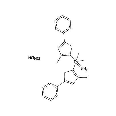 CC1=[C]([Ti]([CH3])([CH3])(=[SiH2])[C]2=C(C)C=C(c3ccccc3)C2)CC(c2ccccc2)=C1.Cl.Cl